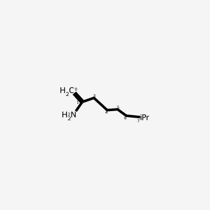 C=C(N)CCCCC(C)C